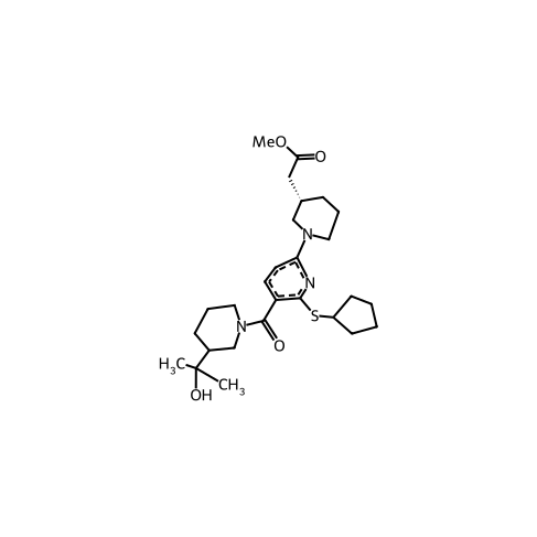 COC(=O)C[C@@H]1CCCN(c2ccc(C(=O)N3CCCC(C(C)(C)O)C3)c(SC3CCCC3)n2)C1